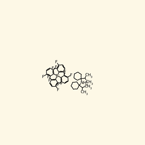 CC(C)C1([NH2+]C2(C(C)C)CCCCC2)CCCCC1.Fc1ccc(F)c([B-](c2c(F)ccc(F)c2F)(c2c(F)ccc(F)c2F)c2c(F)ccc(F)c2F)c1F